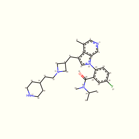 Cc1cncc2c1c(CC1CN(CCC3CCNCC3)C1)cn2-c1ccc(F)cc1C(=O)N(C)C(C)C